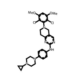 COc1cc(OC)c(Cl)c(N2CCc3nc(Nc4ccc(N5CCN(C6CC6)CC5)cc4)ncc3C2)c1Cl